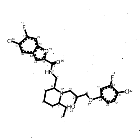 CCC1CCCC(CNC(=O)c2cc3cc(Cl)c(F)cc3o2)N1CC(O)COc1ccc(Cl)c(F)c1